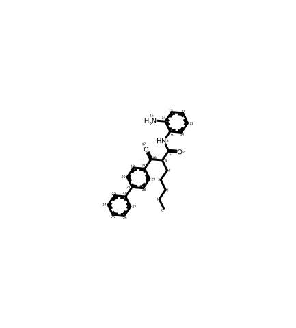 CCCCCC(C(=O)Nc1ccccc1N)C(=O)c1ccc(-c2ccccc2)cc1